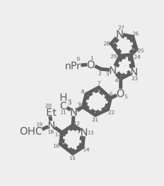 CCCOCn1c(Oc2ccc(N(C)c3ncccc3N(C=O)CC)cc2)nc2ccncc21